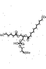 CCCCCCCCCCCCCCCCCCCC(=O)OC(COC(=O)CCCCCCCCCCCCCC)COP(=O)(O)OCCNC